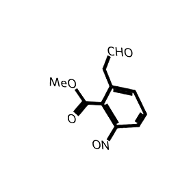 COC(=O)c1c(CC=O)cccc1N=O